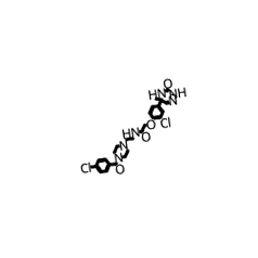 CC1(c2ccc(OCC(=O)NCCN3CCN(C(=O)c4ccc(Cl)cc4)CC3)c(Cl)c2)C=NNC(=O)N1